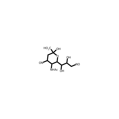 CC(=O)NC1C(N=O)CC(O)(C(=O)O)OC1C(O)C(O)CN=O